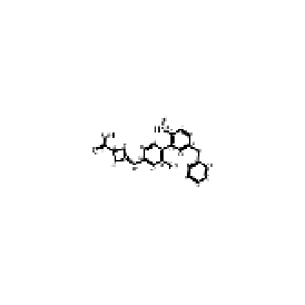 CNc1ccc(Cc2ccccc2)cc1-c1ccc(CN2CC(C(=O)O)C2)cc1F